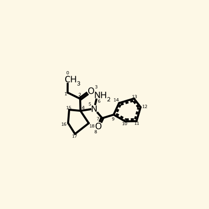 CCC(=O)C1(N(N)C(=O)c2ccccc2)CCCC1